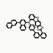 c1ccc(-c2ccc(N(c3ccc(-c4ccc5ccccc5c4)c4ccccc34)c3cccc4oc5cc6nc(-c7ccccc7)oc6cc5c34)cc2)cc1